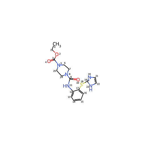 CCOC(=O)N1CCN(C(=O)Nc2ccccc2Sc2ncc[nH]2)CC1